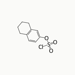 O=S(=O)(Cl)Oc1ccc2c(c1)CCCC2